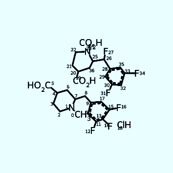 CN1CCC(C(=O)O)CC1Cc1cc(F)c(F)c(F)c1.Cl.O=C(O)C1CCN(C(=O)O)C(C(F)c2cc(F)cc(F)c2)C1